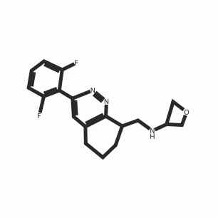 Fc1cccc(F)c1-c1cc2c(nn1)C(CNC1COC1)CCC2